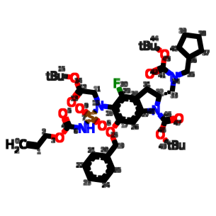 C=CCOC(=O)NS(=O)(=O)N(CC(=O)OC(C)(C)C)c1c(OCc2ccccc2)cc2c(c1F)C[C@H](CN(CC1CCCC1)C(=O)OC(C)(C)C)N2C(=O)OC(C)(C)C